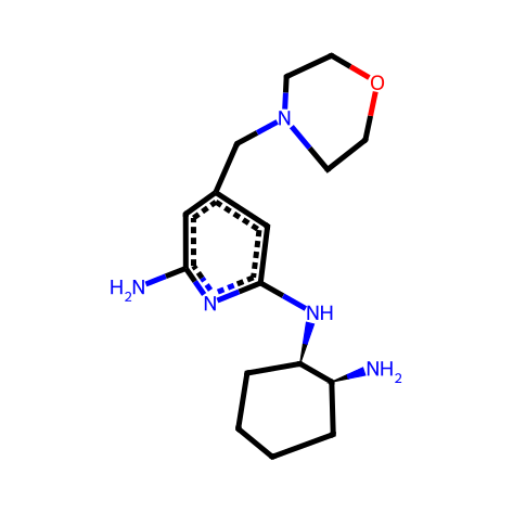 Nc1cc(CN2CCOCC2)cc(N[C@@H]2CCCC[C@@H]2N)n1